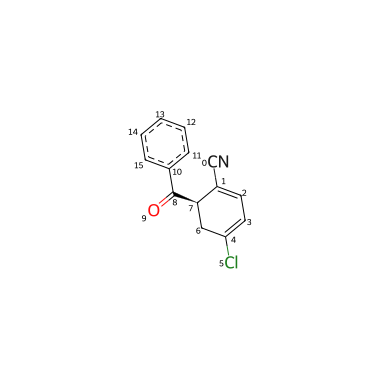 N#CC1=CC=C(Cl)C[C@H]1C(=O)c1ccccc1